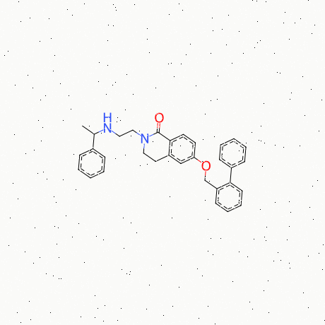 CC(NCCN1CCc2cc(OCc3ccccc3-c3ccccc3)ccc2C1=O)c1ccccc1